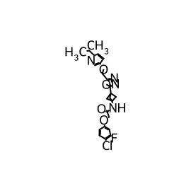 CC(C)c1ccc(OCc2nnc(C34CC(NC(=O)COc5ccc(Cl)c(F)c5)(C3)C4)o2)cn1